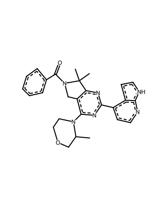 CC1COCCN1c1nc(-c2ccnc3[nH]ccc23)nc2c1CN(C(=O)c1ccccc1)C2(C)C